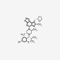 Cc1nc2c(N3C[C@@H](C)N([C@@H](c4ccc(Cl)cc4F)C(C)C)C[C@@H]3C)nc3nncn3c2n1C[C@@H]1CCCO1